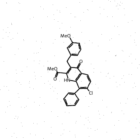 COC(=O)c1[nH]c2c(-c3ccccc3)c(Cl)ccc2c(=O)c1Cc1cccc(OC)c1